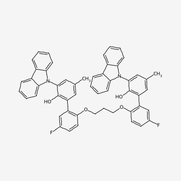 Cc1cc(-c2cc(F)ccc2OCCCOc2ccc(F)cc2-c2cc(C)cc(-n3c4ccccc4c4ccccc43)c2O)c(O)c(-n2c3ccccc3c3ccccc32)c1